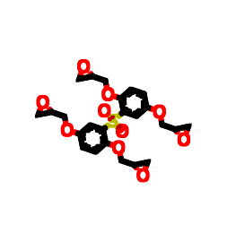 O=S(=O)(c1cc(OCC2CO2)ccc1OCC1CO1)c1cc(OCC2CO2)ccc1OCC1CO1